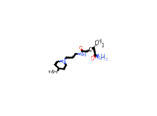 CCCC1CCN(CCCNC(=O)[CH]C[C@H](C)C(N)=O)CC1